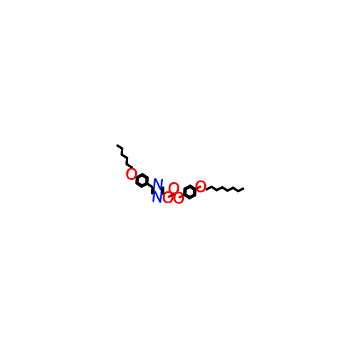 CCCCCCCCOc1ccc(OC(=O)Oc2cnc(-c3ccc(OCCCCCC)cc3)cn2)cc1